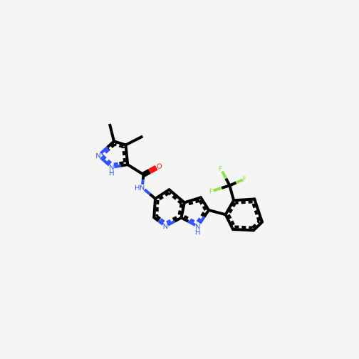 Cc1n[nH]c(C(=O)Nc2cnc3[nH]c(-c4ccccc4C(F)(F)F)cc3c2)c1C